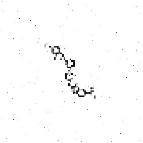 Cn1c(CN2CCN(c3cccc(OCc4ccc(Cl)cc4F)n3)CC2)nc2ccc(C(=O)O)cc21